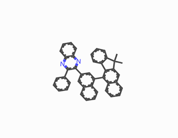 CC1(C)c2ccccc2-c2c1cc1ccccc1c2-c1cc(-c2nc3ccccc3nc2-c2ccccc2)cc2ccccc12